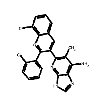 Cc1c(-c2cc3cccc(Cl)c3nc2-c2ccccc2Cl)nc2[nH]cnc2c1N